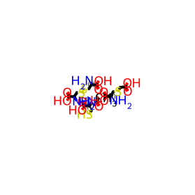 CC(=O)N[C@@H](CS)C(=O)O.NC(CSSC[C@H](N)C(=O)O)C(=O)O.N[C@@H](CSCC(=O)O)C(=O)O